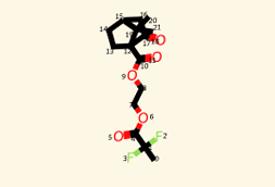 CC(F)(F)C(=O)OCCOC(=O)C12CCC(CC1=O)C2(C)C